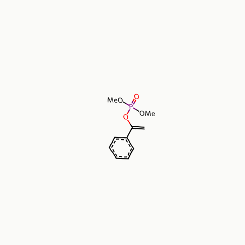 C=C(OP(=O)(OC)OC)c1ccccc1